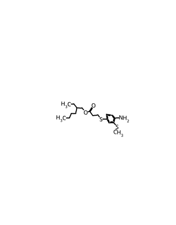 CCCCC(CC)COC(=O)CCSc1ccc(N)c(SC)c1